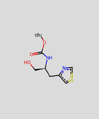 CC(C)(C)OC(=O)N[C@H](CO)Cc1cscn1